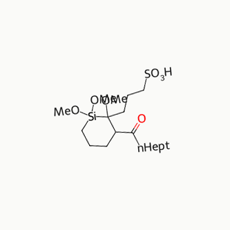 CCCCCCCC(=O)C1CCC[Si](OC)(OC)C1(CCCS(=O)(=O)O)OC